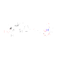 C[C@]12CC[C@@H]3c4ccc(OCCCC(=O)ON5C(=O)CCC5=O)cc4CC[C@H]3[C@@H]1CC[C@H]2O